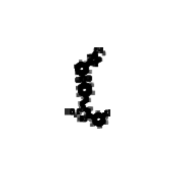 Cc1nc(-c2cccc(S(=O)(=O)c3ccc(CCN(C[C@H](O)c4cccc(Cl)c4)C(=O)O)cc3)c2)no1